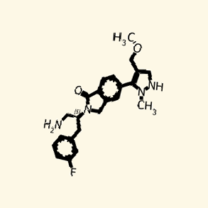 COCC1=C(c2ccc3c(c2)CN([C@H](CN)Cc2cccc(F)c2)C3=O)N(C)NC1